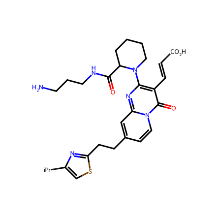 CC(C)c1csc(CCc2ccn3c(=O)c(C=CC(=O)O)c(N4CCCCC4C(=O)NCCCN)nc3c2)n1